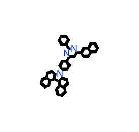 c1ccc(-c2nc(-c3ccc(-n4c5ccc6ccccc6c5c5c6ccccc6ccc54)cc3)cc(-c3ccc4ccccc4c3)n2)cc1